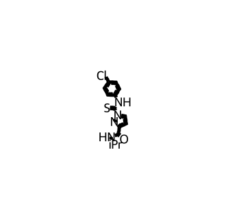 CC(C)NC(=O)c1ccn(C(=S)Nc2ccc(Cl)cc2)n1